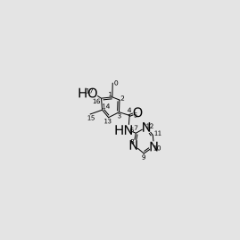 Cc1cc(C(=O)Nc2ncncn2)cc(C)c1O